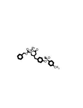 Cc1ccc(S(=O)(=O)Oc2ccc(CC(CNC(=O)OCc3ccccc3)CC(=O)OC(C)C)cc2)cc1